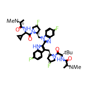 CN[C@@H](C)C(=O)NC(C(=O)N1C[C@@H](F)C[C@H]1Cn1c(-c2[nH]c3cc(F)ccc3c2C[C@@H]2C[C@H](F)CN2C(=O)[C@@H](NC(=O)[C@H](C)NC)C(C)(C)C)nc2cc(F)ccc21)C1CC1